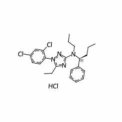 CCC[C@@H](c1ccccc1)N(CCC)c1nc(CC)n(-c2ccc(Cl)cc2Cl)n1.Cl